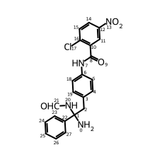 NC(Cc1ccc(NC(=O)c2cc([N+](=O)[O-])ccc2Cl)cc1)(NC=O)c1ccccc1